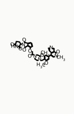 COc1cc(-c2cn(C)c(=O)c3cnccc23)cc(OC)c1CN1CCN(C(=O)COc2cccc3c2C(=O)N(C2CCC(=O)NC2=O)C3=O)CC1